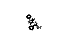 Cc1c(-[n+]2noc([NH-])c2-c2ccccc2)c(=O)n(-c2ccccc2)n1C